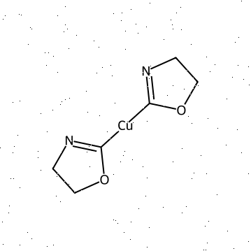 C1CO[C]([Cu][C]2=NCCO2)=N1